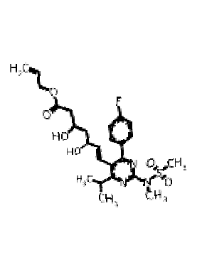 C=CCOC(=O)CC(O)C[C@H](O)/C=C/c1c(-c2ccc(F)cc2)nc(N(C)S(C)(=O)=O)nc1C(C)C